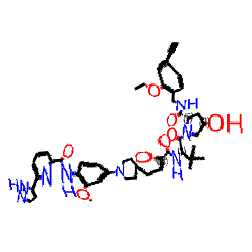 C#Cc1ccc(CNC(=O)[C@@H]2C[C@@H](O)CN2C(=O)[C@@H](NC(=O)[C@H]2CCC3(CCN(c4ccc(NC(=O)c5cccc(-c6ccn[nH]6)n5)c(OC)c4)CC3)O2)C(C)(C)C)c(OCC)c1